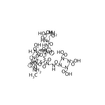 CCCCCC(=O)N[C@@H](CSC1=C(SC[C@H](NC(=O)[C@H](Cc2ccccc2)NC(=O)[C@H](CCC(N)=O)NC(=O)C[C@@H](C)O)C(=O)N[C@@H](CC(=O)O)C(N)=O)C(=O)N(CCNC(=O)CN2CCN(CC(=O)O)CCN(CC(=O)O)CCN(CC(=O)O)CC2)C1=O)C(=O)N1CCC[C@H]1C(=O)N1CCC[C@H]1C(N)=O